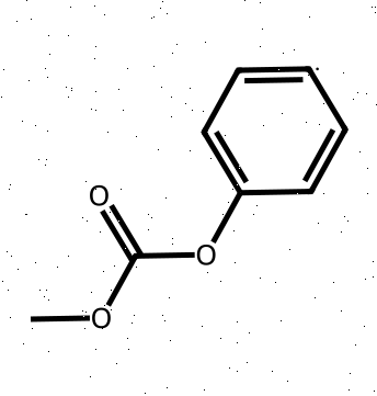 COC(=O)Oc1cc[c]cc1